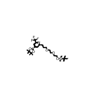 CC1(C)OB(c2cc(CCCOCCOCCO[Si](C)(C)C(C)(C)C)nc(C(F)(F)F)c2)OC1(C)C